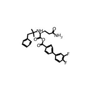 CC(C)(Cc1ccccc1)N[C@@H](CCC(N)=O)C(=O)OC(=O)c1ccc(-c2ccc(F)c(F)c2)cc1